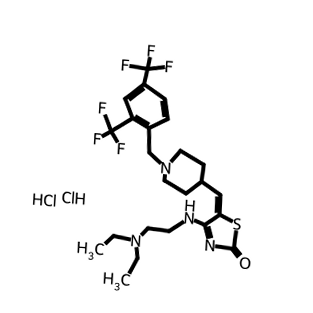 CCN(CC)CCNC1=NC(=O)SC1=CC1CCN(Cc2ccc(C(F)(F)F)cc2C(F)(F)F)CC1.Cl.Cl